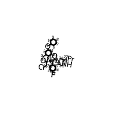 Cc1cc(Oc2ccccc2)ccc1N(C(=O)CCl)[C@@H](C(=O)N1CCN[C@H](C(C)C)C1)c1ccc(F)cc1